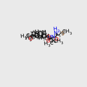 CSCC[C@H](N)C(=O)N[C@H](C(=O)O[C@@H]1CC[C@@]2(C)[C@@H](CC[C@@H]3[C@@H]2CC[C@]2(C)[C@@H](C(C)=O)CC[C@@H]32)C1)C(C)C